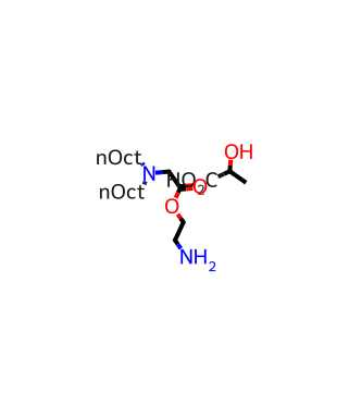 CC(O)C(=O)O.CCCCCCCCN(CCCCCCCC)CC(=O)OCCN